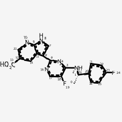 C[C@H](Nc1nc(-c2c[nH]c3ncc(C(=O)O)cc23)ncc1F)c1ccc(F)cc1